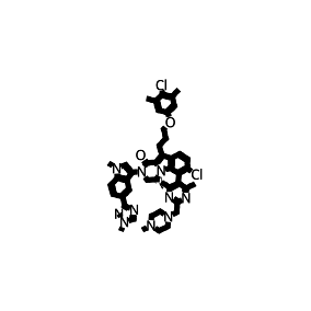 Cc1cc(OCCCc2c3n(c4c(-c5c(C)nc(CN6CCN(C)CC6)nc5C)c(Cl)ccc24)[C@H](C)CN(c2cn(C)c4ccc(-c5ncn(C)n5)cc24)C3=O)cc(C)c1Cl